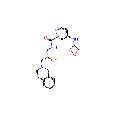 O=C(NCC(O)CN1CCc2ccccc2C1)c1cc(NC2COC2)ccn1